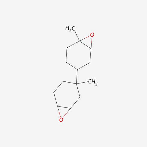 CC1(C2CCC3(C)OC3C2)CCC2OC2C1